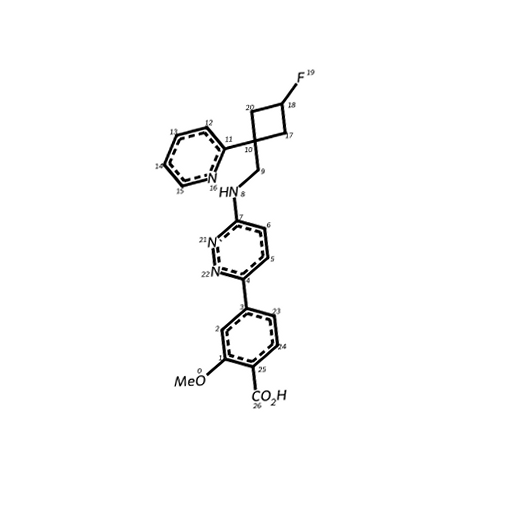 COc1cc(-c2ccc(NCC3(c4ccccn4)CC(F)C3)nn2)ccc1C(=O)O